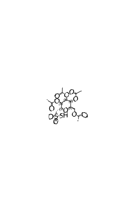 CC(=O)OC[C@H]1O[C@H](CS(=O)(=O)S)[C@@H](OC(C)=O)[C@@H](OC(C)=O)[C@@H]1OC(C)=O